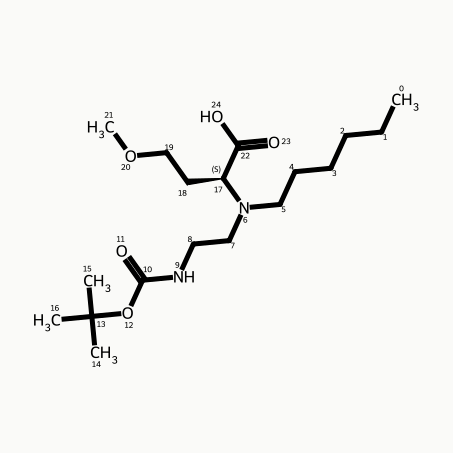 CCCCCCN(CCNC(=O)OC(C)(C)C)[C@@H](CCOC)C(=O)O